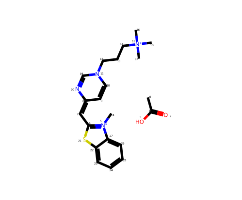 CC(=O)O.C[n+]1c(C=C2C=CN(CCC[N+](C)(C)C)C=N2)sc2ccccc21